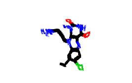 CCc1cc2c(cc1Cl)N=C1C(=O)NC(=O)NC1N2CCN